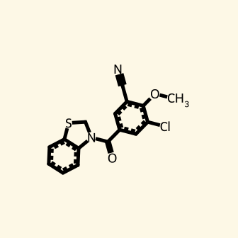 COc1c(Cl)cc(C(=O)N2CSc3ccccc32)cc1C#N